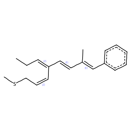 CC/C=C(\C=C/CSC)/C=C/C(C)=C/c1ccccc1